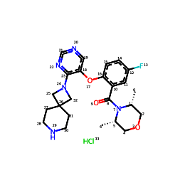 C[C@@H]1COC[C@H](C)N1C(=O)c1cc(F)ccc1Oc1cncnc1N1CC2(CCNCC2)C1.Cl